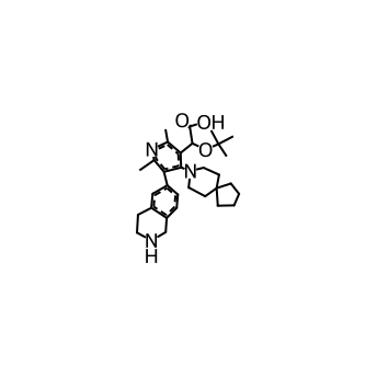 Cc1nc(C)c(C(OC(C)(C)C)C(=O)O)c(N2CCC3(CCCC3)CC2)c1-c1ccc2c(c1)CCNC2